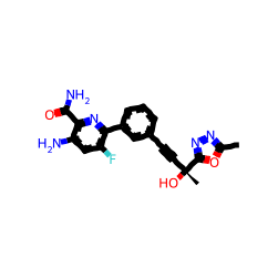 Cc1nnc([C@](C)(O)C#Cc2cccc(-c3nc(C(N)=O)c(N)cc3F)c2)o1